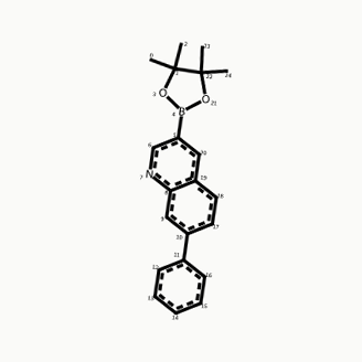 CC1(C)OB(c2cnc3cc(-c4ccccc4)ccc3c2)OC1(C)C